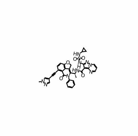 C[C@H](NC(=O)c1c(NS(=O)(=O)NC2CC2)nn2cccnc12)c1c2c3c(ccc(C#Cc4cnn(C)c4)c3c(=O)n1-c1ccccc1)OC2